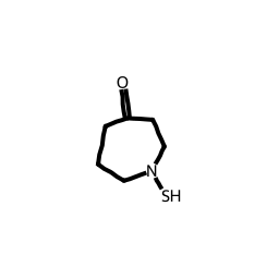 O=C1CCCN(S)CC1